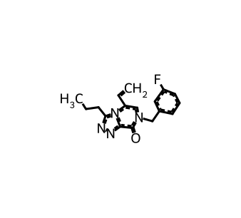 C=Cc1cn(Cc2cccc(F)c2)c(=O)c2nnc(CCC)n12